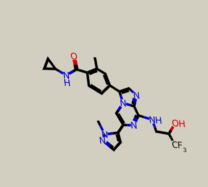 Cc1cc(-c2cnc3c(NCC(O)C(F)(F)F)nc(-c4ccnn4C)cn23)ccc1C(=O)NC1CC1